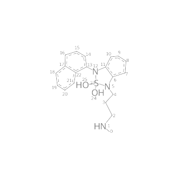 CNCCCN1c2ccccc2N(c2cccc3ccccc23)S1(O)O